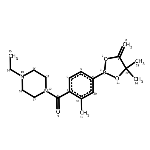 C=C1OB(c2ccc(C(=O)N3CCN(CC)CC3)c(C)c2)OC1(C)C